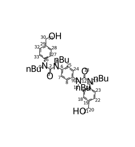 CCCCN(C(=O)N(CCCC)c1ccc(N(CCCC)C(=O)N(CCCC)c2ccc(CO)cc2)cc1)c1ccc(CO)cc1